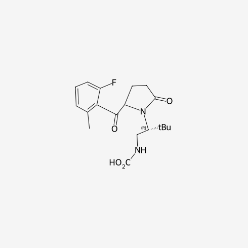 Cc1cccc(F)c1C(=O)C1CCC(=O)N1[C@@H](CNC(=O)O)C(C)(C)C